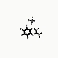 CN(C)C(Oc1c(F)c(F)c(F)c(F)c1F)=[N+](C)C.F[B-](F)(F)F